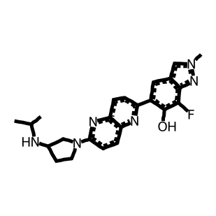 CC(C)NC1CCN(c2ccc3nc(-c4cc5cn(C)nc5c(F)c4O)ccc3n2)C1